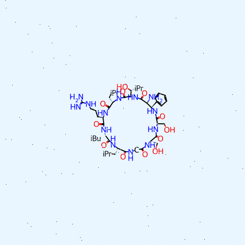 CC[C@H](C)[C@@H]1NC(=O)[C@@H](CCCNC(=N)N)NC(=O)[C@H](CC(C)C)NC(=O)[C@H]([C@H](O)C(C)C)NC(=O)[C@@H](N)[C@@H](c2ccccc2)NC(=O)C(CO)NC(=O)[C@H](CO)NC(=O)CNC(=O)[C@H](CC(C)C)NC1=O